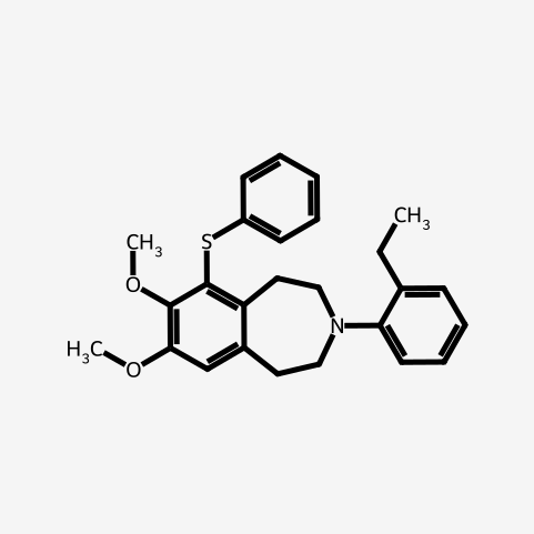 CCc1ccccc1N1CCc2cc(OC)c(OC)c(Sc3ccccc3)c2CC1